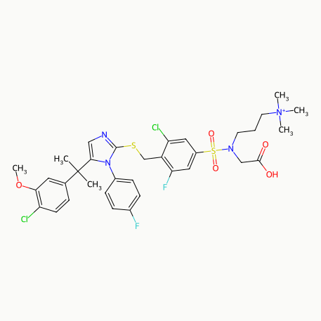 COc1cc(C(C)(C)c2cnc(SCc3c(F)cc(S(=O)(=O)N(CCC[N+](C)(C)C)CC(=O)O)cc3Cl)n2-c2ccc(F)cc2)ccc1Cl